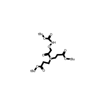 CC(C)(C)OC(=O)CCN(CCC(=O)OC(C)(C)C)C(=O)CONC(=O)OC(C)(C)C